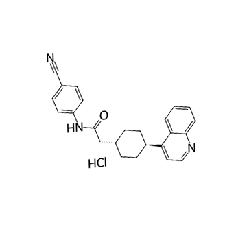 Cl.N#Cc1ccc(NC(=O)C[C@H]2CC[C@H](c3ccnc4ccccc43)CC2)cc1